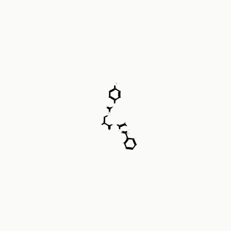 CCCCc1ccc(OC(=O)NCC(C)C(=O)Oc2csc(-c3c[c]ccc3)n2)cc1